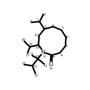 CC(C)C1CCCCCC(=O)N(C(C)(C)C(C)C)C(C(C)C)C1